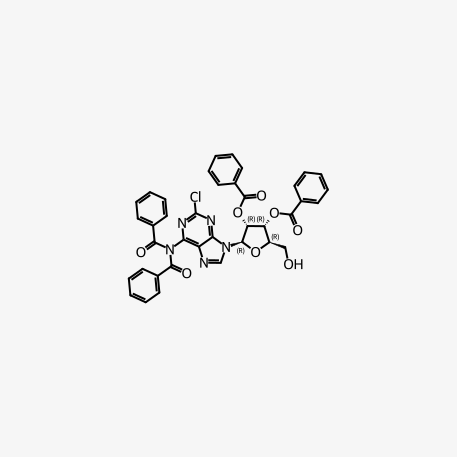 O=C(O[C@@H]1[C@H](OC(=O)c2ccccc2)[C@@H](CO)O[C@H]1n1cnc2c(N(C(=O)c3ccccc3)C(=O)c3ccccc3)nc(Cl)nc21)c1ccccc1